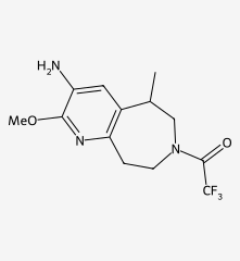 COc1nc2c(cc1N)C(C)CN(C(=O)C(F)(F)F)CC2